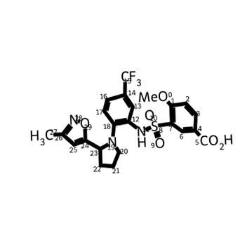 COc1ccc(C(=O)O)cc1S(=O)(=O)Nc1cc(C(F)(F)F)ccc1N1CCCC1c1cc(C)no1